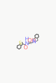 O=C(NC[C@H](O)CN1CCc2ccccc2C1)c1csc2ccccc12